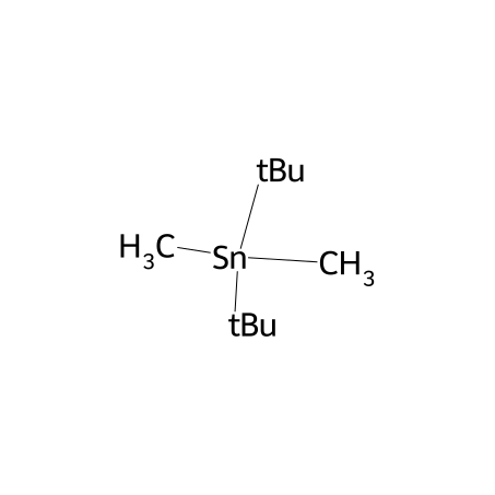 C[C](C)(C)[Sn]([CH3])([CH3])[C](C)(C)C